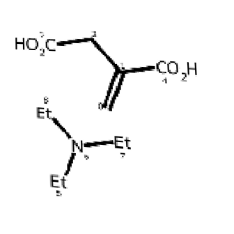 C=C(CC(=O)O)C(=O)O.CCN(CC)CC